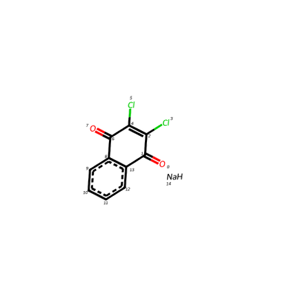 O=C1C(Cl)=C(Cl)C(=O)c2ccccc21.[NaH]